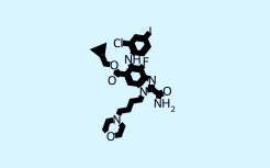 NC(=O)c1nc2c(F)c(Nc3ccc(I)cc3Cl)c(C(=O)OCC3CC3)cc2n1CCCCN1CCOCC1